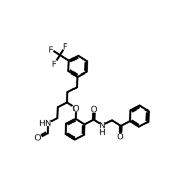 O=CNCCC(CCc1cccc(C(F)(F)F)c1)Oc1ccccc1C(=O)NCC(=O)c1ccccc1